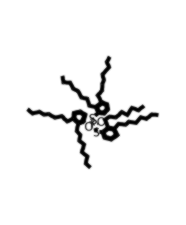 CCCCCCCCc1cccc(OP(=O)(Sc2cccc(CCCCCCCC)c2CCCCCCCC)Sc2cccc(CCCCCCCC)c2CCCCCCCC)c1CCCCCCCC